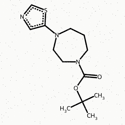 CC(C)(C)OC(=O)N1CCCN(c2cncs2)CC1